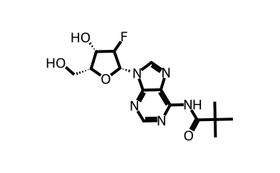 CC(C)(C)C(=O)Nc1ncnc2c1ncn2[C@@H]1O[C@H](CO)[C@H](O)C1F